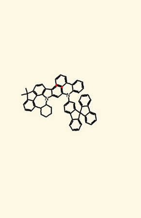 CC1(C)c2cccc3c2-c2c1ccc1c4ccc(N(c5ccc6c(c5)C5(c7ccccc7-c7ccccc75)c5ccccc5-6)c5ccccc5-c5ccccc5)cc4n(c21)C1CCCCC31